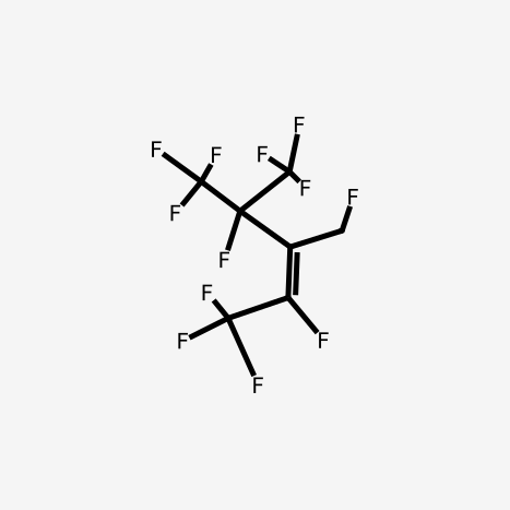 FC/C(=C(\F)C(F)(F)F)C(F)(C(F)(F)F)C(F)(F)F